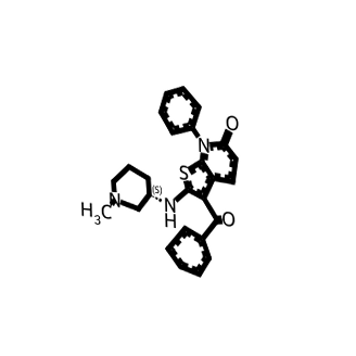 CN1CCC[C@H](Nc2sc3c(ccc(=O)n3-c3ccccc3)c2C(=O)c2ccccc2)C1